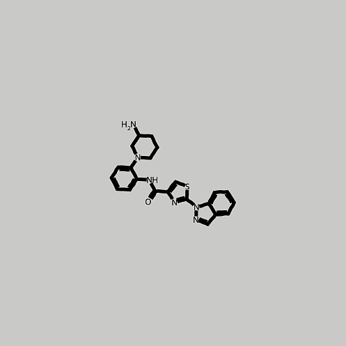 NC1CCCN(c2ccccc2NC(=O)c2csc(-n3ncc4ccccc43)n2)C1